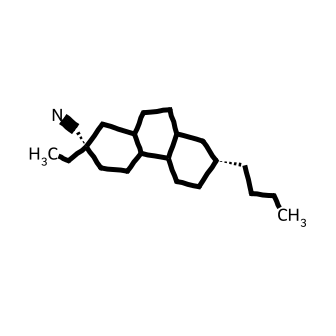 CCCC[C@@H]1CCC2C(CCC3C[C@](C#N)(CC)CCC32)C1